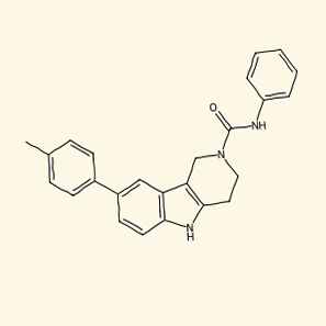 Cc1ccc(-c2ccc3[nH]c4c(c3c2)CN(C(=O)Nc2ccccc2)CC4)cc1